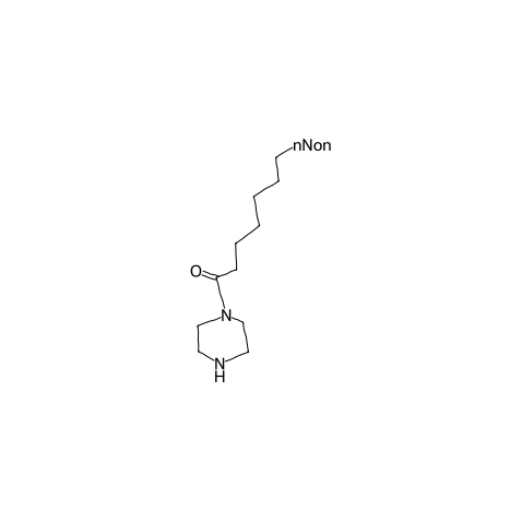 CCCCCCCCCCCCCCCC(=O)N1CCNCC1